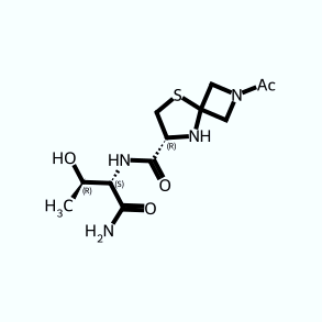 CC(=O)N1CC2(C1)N[C@H](C(=O)N[C@H](C(N)=O)[C@@H](C)O)CS2